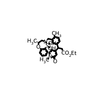 CCOC(=O)CC(c1ccc(C)c(CN2C[C@@H](C)Oc3ccccc3S2(O)O)c1)c1ccn(C)c(=O)c1